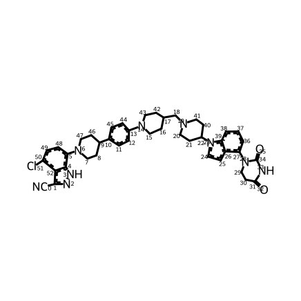 N#Cc1n[nH]c2c(N3CCC(c4ccc(N5CCC(CN6CCC(n7ccc8c(N9CCC(=O)NC9=O)cccc87)CC6)CC5)cc4)CC3)ccc(Cl)c12